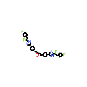 O=C(CCC1CCC(c2cnc(C(F)Cc3ccc(F)cc3)nc2)CC1)CC[C@H]1CC[C@H](c2cnc(C(F)Cc3ccc(F)cc3)nc2)CC1